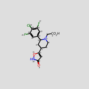 O=C(O)CN1CCC(c2cc(=O)[nH]o2)CC1c1cc(F)c(Cl)c(F)c1